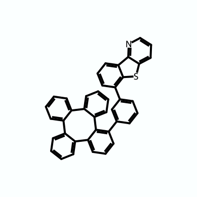 c1cc(-c2cccc3c2-c2ccccc2-c2ccccc2-c2ccccc2-3)cc(-c2cccc3c2sc2cccnc23)c1